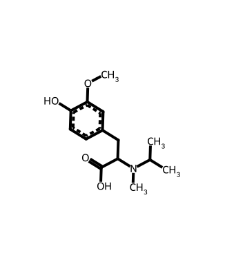 COc1cc(CC(C(=O)O)N(C)C(C)C)ccc1O